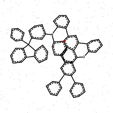 c1ccc(-c2ccc(-c3ccc(N(c4cccc(C5(c6ccccc6)c6ccccc6-c6ccccc65)c4)c4ccccc4-c4cc5c6c(cccc6c4)Oc4ccccc4-5)cc3)cc2-c2ccccc2)cc1